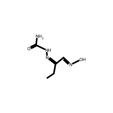 CCC(/C=N/O)=N/NC(N)=O